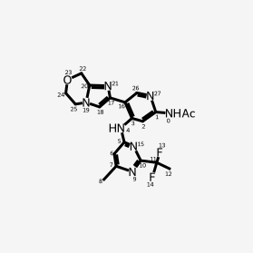 CC(=O)Nc1cc(Nc2cc(C)nc(C(C)(F)F)n2)c(-c2cn3c(n2)COCC3)cn1